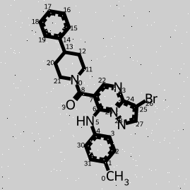 Cc1ccc(Nc2c(C(=O)N3CCC(c4ccccc4)CC3)cnc3c(Br)cnn23)cc1